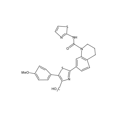 COc1ccc(-c2sc(-c3ccc4c(c3)N(C(=O)Nc3nccs3)CCC4)nc2C(=O)O)cc1